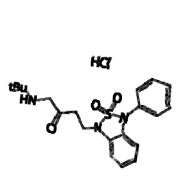 CC(C)(C)NCC(=O)CCN1c2ccccc2N(c2ccccc2)S1(=O)=O.Cl